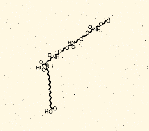 COCCOCCNC(=O)COCCOCCNC(=O)COCCOCCNC(=O)CC[C@H](NC(=O)CCCCCCCCCCCCCCC(=O)O)C(=O)O